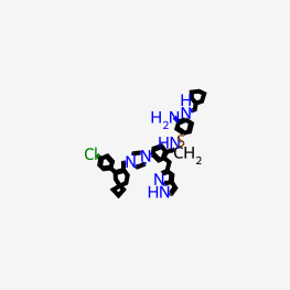 C=C(NSc1ccc(NCC2CCCCC2)c(N)c1)c1ccc(N2CCN(CC3=C(c4ccc(Cl)cc4)CC4(CCC4)CC3)CC2)cc1Cc1cnc2[nH]ccc2c1